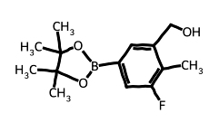 Cc1c(F)cc(B2OC(C)(C)C(C)(C)O2)cc1CO